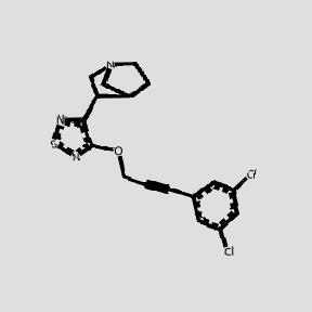 Clc1cc(Cl)cc(C#CCOc2nsnc2C2CN3CCC2C3)c1